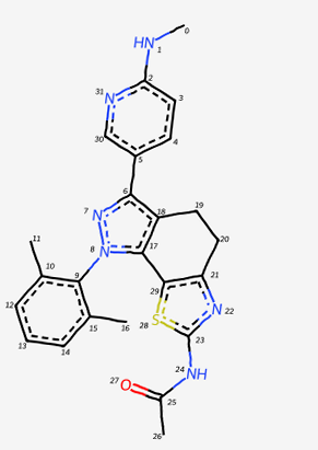 CNc1ccc(-c2nn(-c3c(C)cccc3C)c3c2CCc2nc(NC(C)=O)sc2-3)cn1